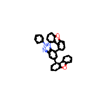 c1ccc(-n2nc3cc(-c4cccc5oc6ccccc6c45)cc(-c4cccc5oc6ccccc6c45)c3n2)cc1